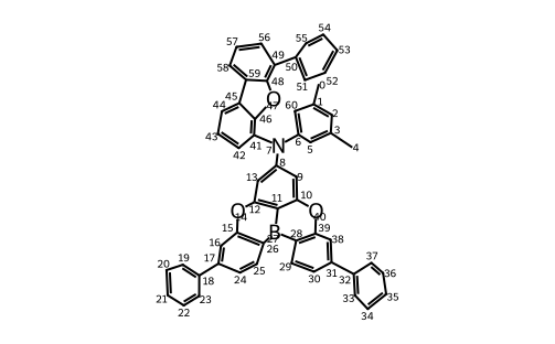 Cc1cc(C)cc(N(c2cc3c4c(c2)Oc2cc(-c5ccccc5)ccc2B4c2ccc(-c4ccccc4)cc2O3)c2cccc3c2oc2c(-c4ccccc4)cccc23)c1